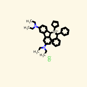 CCN(CC)c1ccc2c(c1)-c1cc(N(CC)CC)ccc1[CH]2[Zr+2]([C]1=CC=CC1)=[C](c1ccccc1)c1ccccc1.[Cl-].[Cl-]